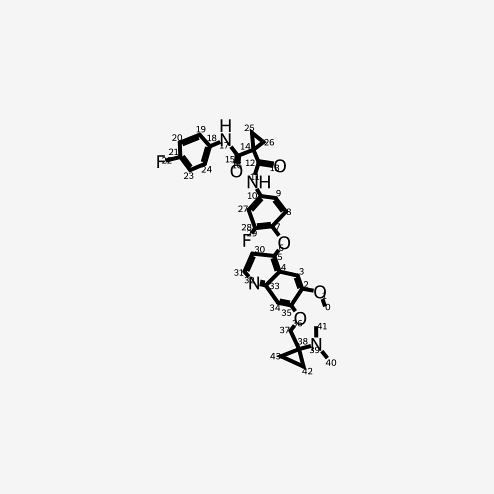 COc1cc2c(Oc3ccc(NC(=O)C4(C(=O)Nc5ccc(F)cc5)CC4)cc3F)ccnc2cc1OCC1(N(C)C)CC1